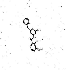 COc1ccnc(C(=O)NC2CC(C)O[C@H](Cc3ccccc3)C2)c1O